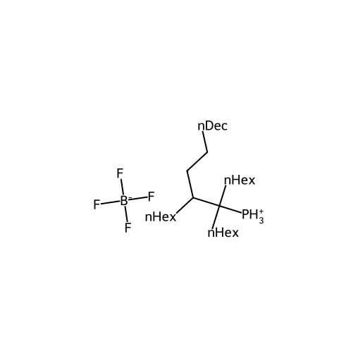 CCCCCCCCCCCCC(CCCCCC)C([PH3+])(CCCCCC)CCCCCC.F[B-](F)(F)F